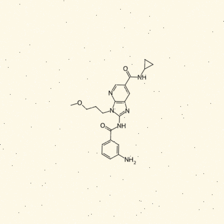 COCCCn1c(NC(=O)c2cccc(N)c2)nc2cc(C(=O)NC3CC3)cnc21